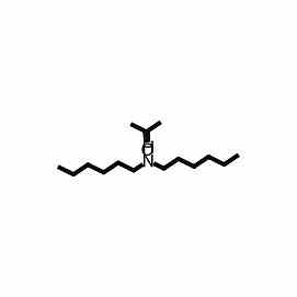 CC(C)=O.CCCCCCNCCCCCC